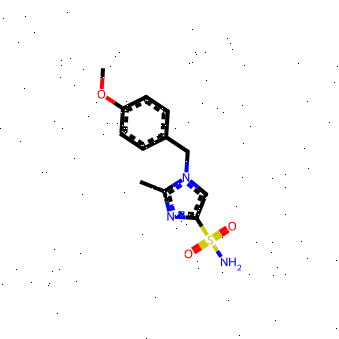 COc1ccc(Cn2cc(S(N)(=O)=O)nc2C)cc1